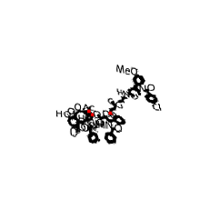 COc1ccc2c(c1)c(CC(=O)NCCCCOC(=O)CCC(=O)O[C@@H](C(=O)O[C@H]1C[C@@]3(O)[C@@H](OC(=O)c4ccccc4)[C@H]4[C@](C)(C(=O)[C@H](OC(C)=O)C(=C1C)C3(C)C)[C@@H](O)CC1OC[C@]14OC(C)=O)[C@@H](NC(=O)c1ccccc1)c1ccccc1)c(C)n2C(=O)c1ccc(Cl)cc1